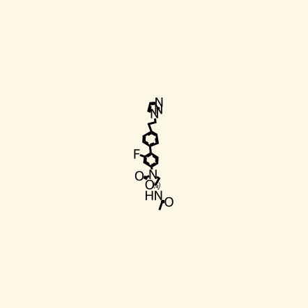 CC(=O)NC[C@H]1CN(c2ccc(-c3ccc(CCn4ccnn4)cc3)c(F)c2)C(=O)O1